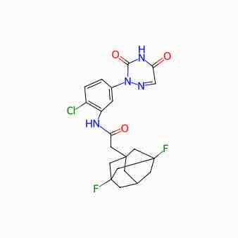 O=C(CC12CC3CC(F)(CC(F)(C3)C1)C2)Nc1cc(-n2ncc(=O)[nH]c2=O)ccc1Cl